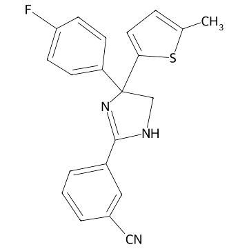 Cc1ccc(C2(c3ccc(F)cc3)CNC(c3cccc(C#N)c3)=N2)s1